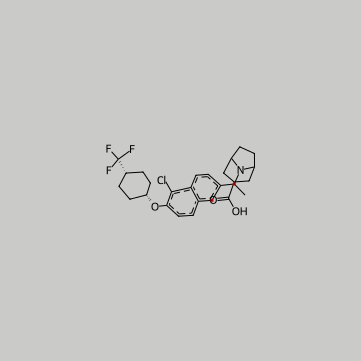 CC(c1ccc2c(Cl)c(O[C@H]3CC[C@@H](C(F)(F)F)CC3)ccc2c1)N1C2CCC1CC(C(=O)O)C2